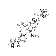 CC(C)NC(=O)Nc1ccc(C2=C(N)c3ccc(OCCc4ncco4)cc3C2C2CCC2)cc1